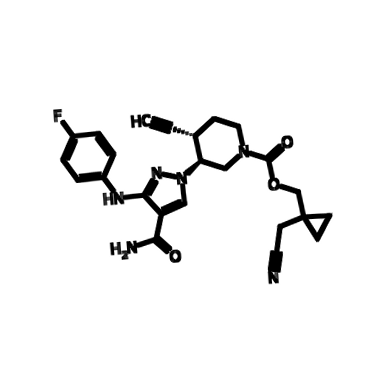 C#C[C@@H]1CCN(C(=O)OCC2(CC#N)CC2)C[C@H]1n1cc(C(N)=O)c(Nc2ccc(F)cc2)n1